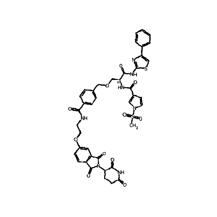 CS(=O)(=O)n1ccc(C(=O)N[C@@H](COCc2ccc(C(=O)NCCOc3ccc4c(c3)C(=O)N(C3CCC(=O)NC3=O)C4=O)cc2)C(=O)Nc2nc(-c3ccccc3)cs2)c1